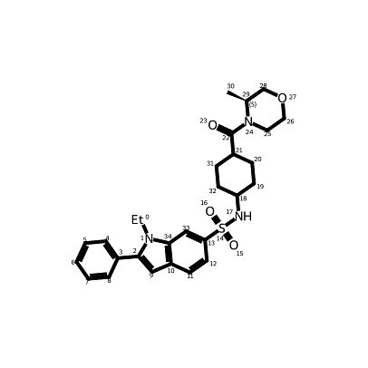 CCn1c(-c2ccccc2)cc2ccc(S(=O)(=O)NC3CCC(C(=O)N4CCOC[C@@H]4C)CC3)cc21